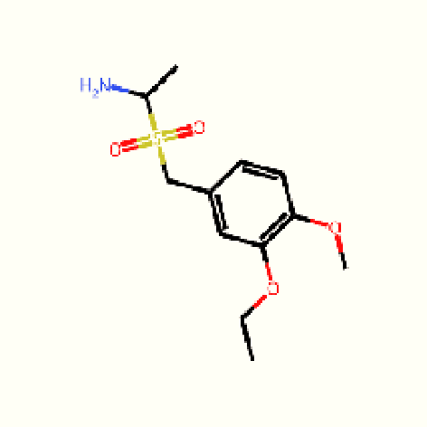 CCOc1cc(CS(=O)(=O)C(C)N)ccc1OC